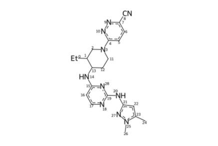 CCC1CN(c2ccc(C#N)nn2)CCC1Nc1ccnc(Nc2cc(C)n(C)n2)n1